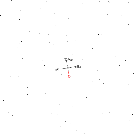 CCCCC([O])(CCC)OC